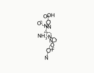 N.N#Cc1ccc(COc2cccc(N3CCC4(CC3)CC4c3nc4ccc(C(=O)O)cc4n3C[C@@H]3CCO3)n2)c(F)c1